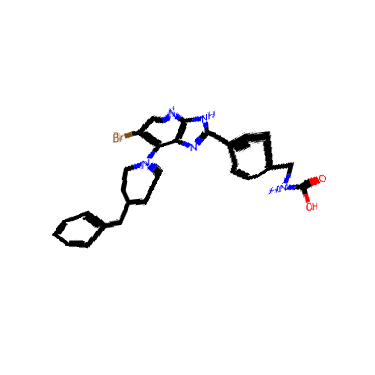 O=C(O)NCc1ccc(-c2nc3c(N4CCC(Cc5ccccc5)CC4)c(Br)cnc3[nH]2)cc1